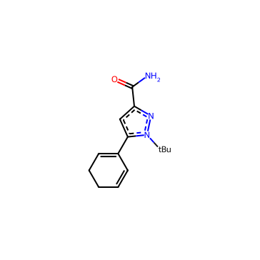 CC(C)(C)n1nc(C(N)=O)cc1C1=CCCC=C1